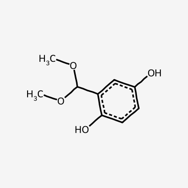 COC(OC)c1cc(O)ccc1O